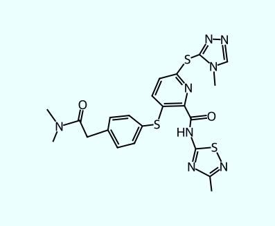 Cc1nsc(NC(=O)c2nc(Sc3nncn3C)ccc2Sc2ccc(CC(=O)N(C)C)cc2)n1